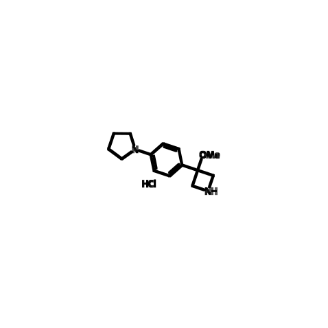 COC1(c2ccc(N3CCCC3)cc2)CNC1.Cl